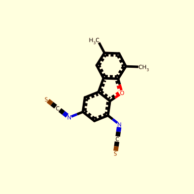 Cc1cc(C)c2oc3c(N=C=S)cc(N=C=S)cc3c2c1